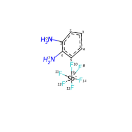 Nc1ccccc1N.[F][Sb-]([F])([F])([F])([F])[F]